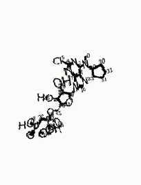 CN(c1nc(Cl)nc2c1ncn2[C@@H]1O[C@H](COP(=O)(O)CP(=O)(O)O)[C@@H](O)[C@H]1O)C1CCCC1